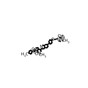 Cc1ccc(S(=O)(=O)n2ccc3c(-c4cc5ccc(-c6ccc(OCCN7CCN(C)C(=O)[C@H]7C)cc6)cc5cn4)cn(C)c(=O)c32)cc1